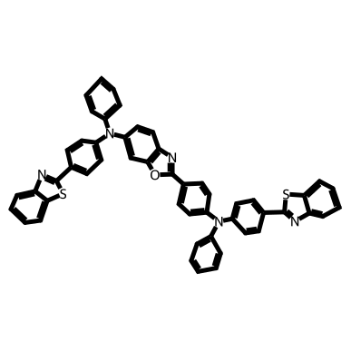 c1ccc(N(c2ccc(-c3nc4ccc(N(c5ccccc5)c5ccc(-c6nc7ccccc7s6)cc5)cc4o3)cc2)c2ccc(-c3nc4ccccc4s3)cc2)cc1